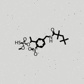 COP(=O)(S)OC(C)c1cc(CNC(=O)C(C)(C)CC(C)(C)C)ccc1[N+](=O)[O-]